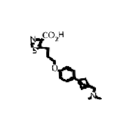 CN(C)CC12CC(c3ccc(OCCCc4scnc4C(=O)O)cc3)(C1)C2